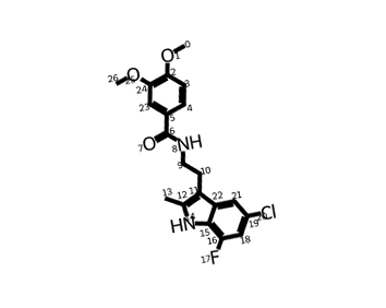 COc1ccc(C(=O)NCCc2c(C)[nH]c3c(F)cc(Cl)cc23)cc1OC